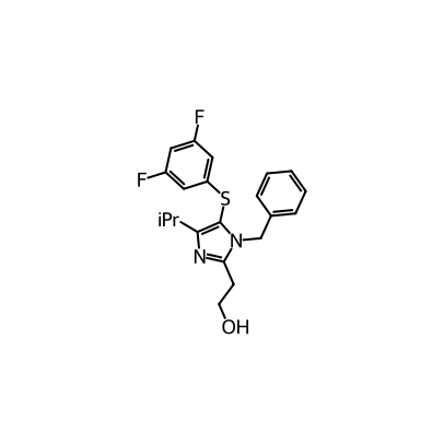 CC(C)c1nc(CCO)n(Cc2ccccc2)c1Sc1cc(F)cc(F)c1